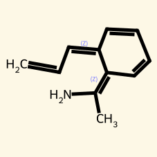 C=C/C=c1/cccc/c1=C(\C)N